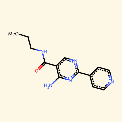 COCCNC(=O)c1cnc(-c2ccncc2)nc1N